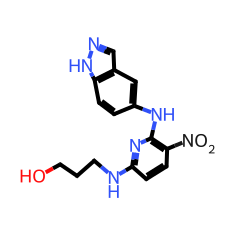 O=[N+]([O-])c1ccc(NCCCO)nc1Nc1ccc2[nH]ncc2c1